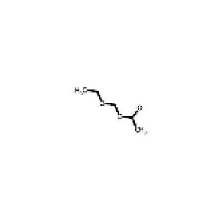 CCOCOC(C)[O]